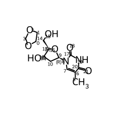 C1COCO1.Cc1cn([C@H]2C[C@H](O)[C@@H](CO)O2)c(=O)[nH]c1=O